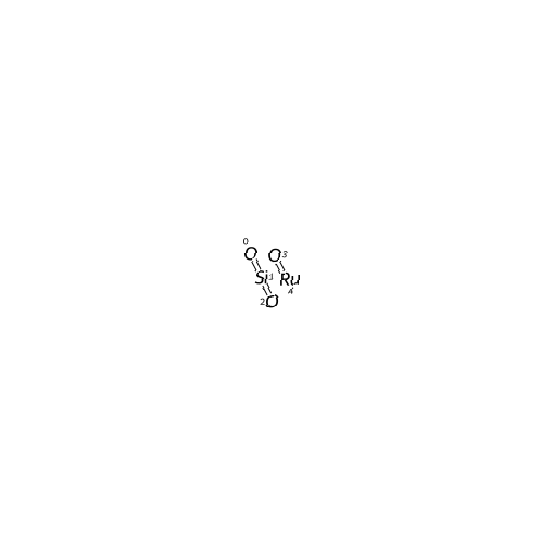 O=[Si]=O.[O]=[Ru]